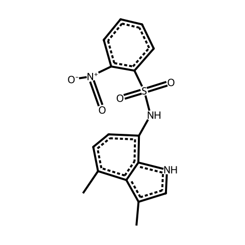 Cc1ccc(NS(=O)(=O)c2ccccc2[N+](=O)[O-])c2[nH]cc(C)c12